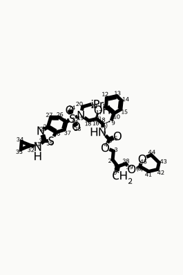 C=C(CCOC(=O)N[C@@H](Cc1ccccc1)[C@H](O)CN(CC(C)C)S(=O)(=O)c1ccc2nc(NC3CC3)sc2c1)CO[C@H]1CCCCO1